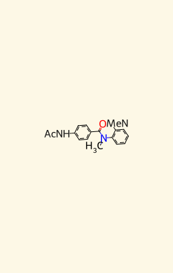 CNc1ccccc1N(C)C(=O)c1ccc(NC(C)=O)cc1